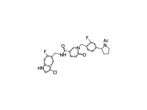 CC(=O)N1CCCC1c1ccc(Cn2cc(C(=O)NCc3cc4c(Cl)c[nH]c4cc3F)ccc2=O)c(F)c1